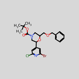 CC(C)(C)OC(=O)N1CC(COCc2ccccc2)OC(c2cc(Cl)nc(Br)c2)C1